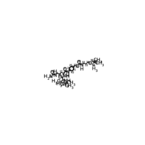 CC(C)[C@H](NC(C)(C)C)C(=O)N[C@@H](CCCNC(N)=O)C(=O)Nc1ccc(COC(=O)NCCCOCC(C)(C)C)cc1